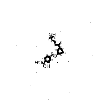 CC(CCCC(C)(C)O)c1cccc(OCc2ccc(C(O)O)cc2)c1